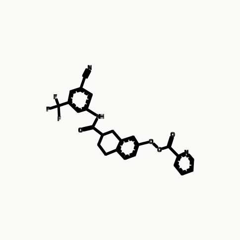 N#Cc1cc(NC(=O)C2CCc3ccc(OOC(=O)c4ccccn4)cc3C2)cc(C(F)(F)F)c1